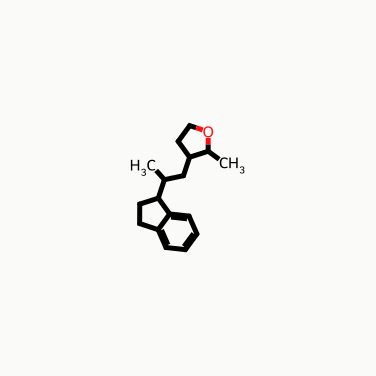 CC(CC1CCOC1C)C1CCc2ccccc21